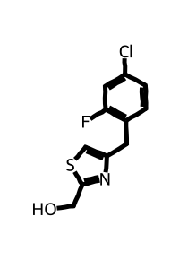 OCc1nc(Cc2ccc(Cl)cc2F)cs1